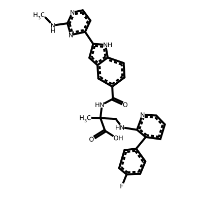 CNc1nccc(-c2cc3cc(C(=O)NC(C)(CNc4ncccc4-c4ccc(F)cc4)C(=O)O)ccc3[nH]2)n1